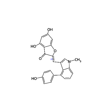 Cn1cc(/C=C2\Oc3cc(O)cc(O)c3C2=O)c2c(-c3ccc(O)cc3)cccc21